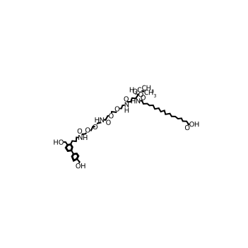 CC(C)(C)OC(=O)C(CCC(=O)NCCOCCOCC(=O)NCCOCCOCC(=O)NCCCc1cc(-c2ccc(CO)cc2)ccc1CO)NC(=O)CCCCCCCCCCCCCCCCC(=O)O